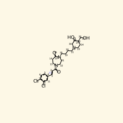 O=C(/C=C/c1ccc(Cl)c(Cl)c1)N1CCC(=O)N(CCCCN2CC[C@H](CO)[C@@H](O)C2)CC1